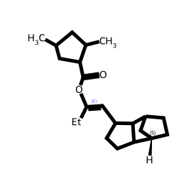 CC/C(=C\C1CCC2C1C1CC[C@H]2C1)OC(=O)C1CC(C)CC1C